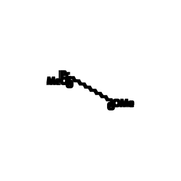 COC(=O)CCCCCCCCCCCCCCCC(C(=O)OC)C(C)C